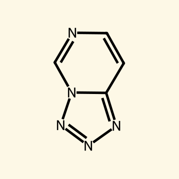 c1cc2nnnn2cn1